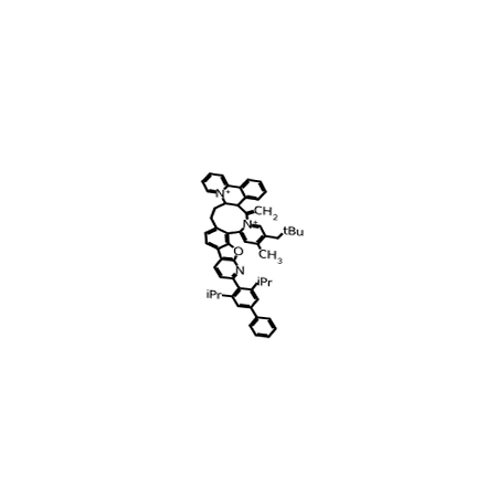 C=C1C2c3ccccc3-c3cccc[n+]3C2CCc2ccc3c(oc4nc(-c5c(C(C)C)cc(-c6ccccc6)cc5C(C)C)ccc43)c2-c2cc(C)c(CC(C)(C)C)c[n+]21